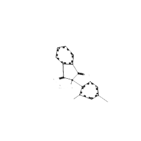 CC(=O)OC1(c2ccc(C)cc2C)C(=O)c2ccccc2C1=O